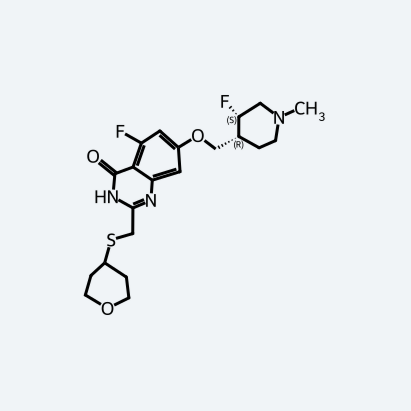 CN1CC[C@H](COc2cc(F)c3c(=O)[nH]c(CSC4CCOCC4)nc3c2)[C@H](F)C1